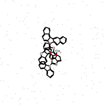 CC1C/C=C(c2ccc3c(c2)oc2ccccc23)/N=C(n2c3ccccc3c3ccccc32)\N=C/1c1cc(-n2c3cc4ccccc4cc3c3c4ccccc4ccc32)cc2oc3ccccc3c12